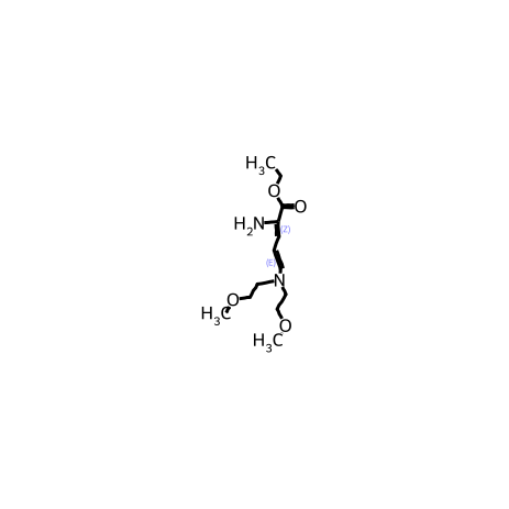 CCOC(=O)/C(N)=C/C=C/N(CCOC)CCOC